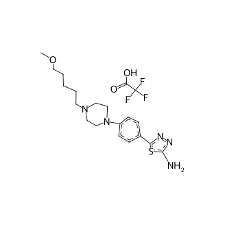 COCCCCCN1CCN(c2ccc(-c3nnc(N)s3)cc2)CC1.O=C(O)C(F)(F)F